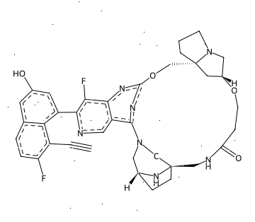 C#Cc1c(F)ccc2cc(O)cc(-c3ncc4c5nc(nc4c3F)OC[C@]34CCCN3C[C@@H](C4)OCCC(=O)NC[C@]34CC[C@H](CN5C3)N4)c12